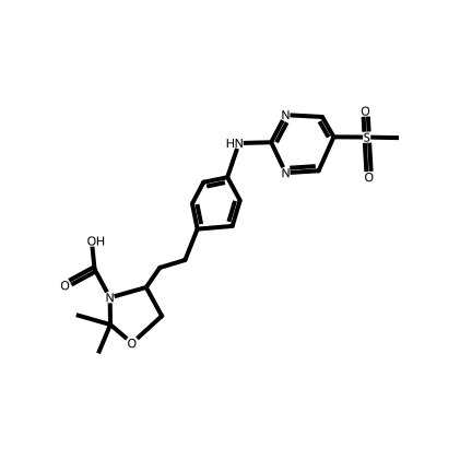 CC1(C)OCC(CCc2ccc(Nc3ncc(S(C)(=O)=O)cn3)cc2)N1C(=O)O